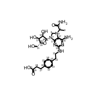 CC(C(N)=O)N1CN([C@@H]2O[C@H](CO)C(O)C2O)c2nc(NCCc3ccc(CCC(=O)O)cc3)nc(N)c21